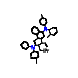 C=CC1c2cc(N(c3ccc(C)cc3)C3C=CC=CC3C)c3ccccc3c2C=C(N(c2ccccc2)c2ccc(C)cc2)C1CC(C)C